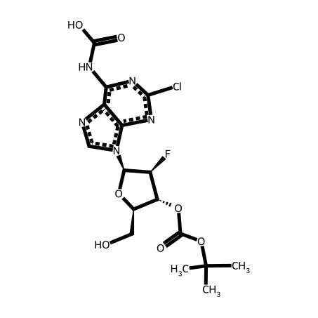 CC(C)(C)OC(=O)O[C@H]1[C@H](F)[C@H](n2cnc3c(NC(=O)O)nc(Cl)nc32)O[C@@H]1CO